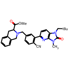 COC(=O)C1Cc2ccccc2CN1Cc1ccc(C#N)c(-c2ccc3c(n2)n(C)c(=O)n3CC(C)(C)C)c1